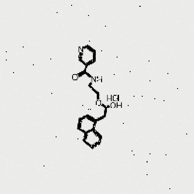 Cl.O=C(NCCOC(O)Cc1cccc2ccccc12)c1cccnc1